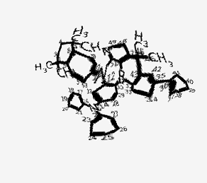 CC1(C)CCC(C)(C)c2cc(N3c4cc(N(c5ccccc5)c5ccccc5)ccc4B4c5ccc(-c6ccccc6)cc5C(C)(C)c5ccnc3c54)ccc21